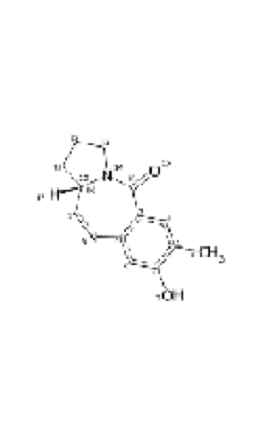 Cc1cc2c(cc1O)N=C[C@@H]1CCCN1C2=O